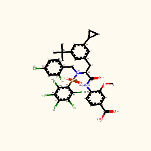 COc1cc(C(=O)O)ccc1NC(=O)C(Cc1cc(C2CC2)cc(C(C)(C)C)c1)N(Cc1ccc(Cl)cc1F)S(=O)(=O)c1c(F)c(F)c(F)c(F)c1F